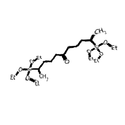 CCO[Si](OCC)(OCC)C(C)CCCC(=O)CCCC(C)[Si](OCC)(OCC)OCC